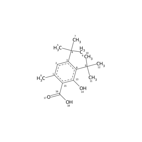 Cc1cc(C(C)(C)C)c(C(C)(C)C)c(O)c1C(=O)O